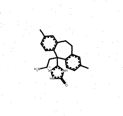 Cc1ccc2c(c1)CCc1cc(C)ccc1C2(C[C@H](C)N)c1n[nH]c(=O)[nH]1